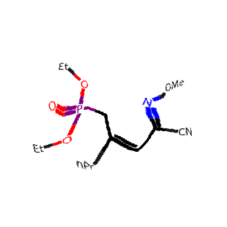 CCCC(=CC(C#N)=NOC)CP(=O)(OCC)OCC